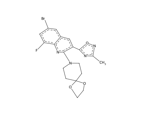 Cc1noc(-c2cc3cc(Br)cc(F)c3nc2N2CCC3(CC2)OCCO3)n1